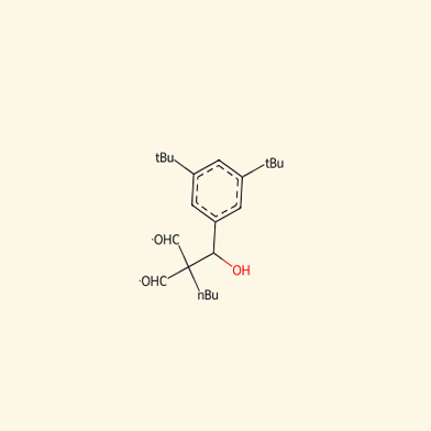 CCCCC([C]=O)([C]=O)C(O)c1cc(C(C)(C)C)cc(C(C)(C)C)c1